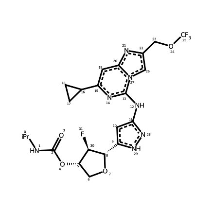 CC(C)NC(=O)O[C@H]1CO[C@@H](c2cc(Nc3nc(C4CC4)cc4nc(COC(F)(F)F)cn34)n[nH]2)[C@@H]1F